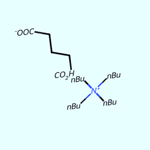 CCCC[N+](CCCC)(CCCC)CCCC.O=C([O-])CCCC(=O)O